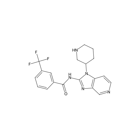 O=C(Nc1nc2cnccc2n1C1CCCNC1)c1cccc(C(F)(F)F)c1